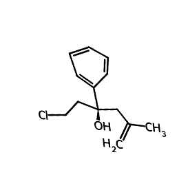 C=C(C)C[C@](O)(CCCl)c1ccccc1